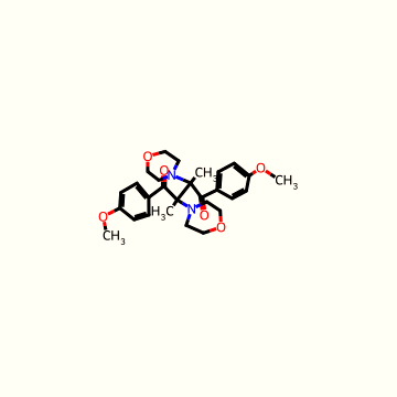 COc1ccc(C(=O)C(C)(N2CCOCC2)C(C)(C(=O)c2ccc(OC)cc2)N2CCOCC2)cc1